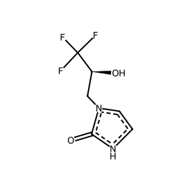 O=c1[nH]ccn1C[C@H](O)C(F)(F)F